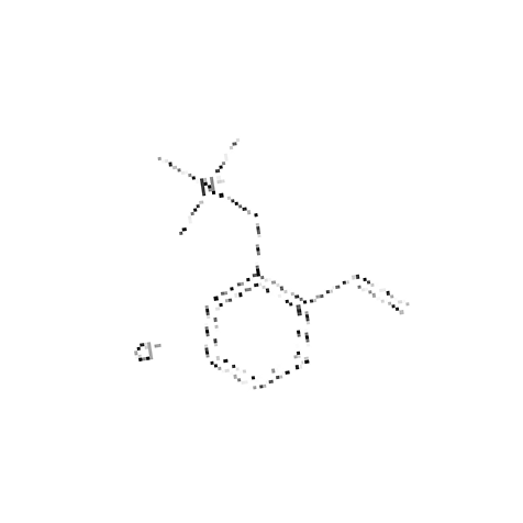 C=Cc1ccccc1C[N+](C)(C)C.[Cl-]